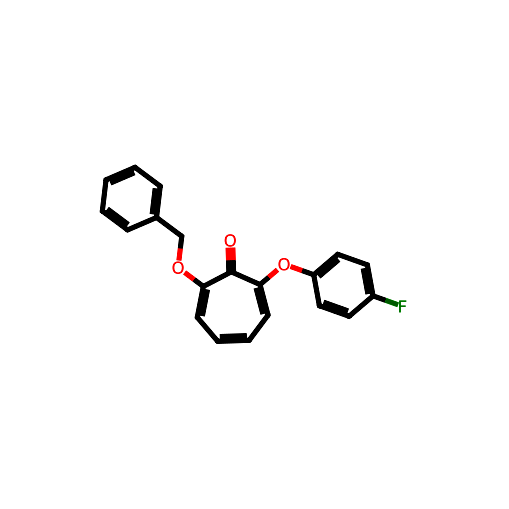 O=c1c(OCc2ccccc2)ccccc1Oc1ccc(F)cc1